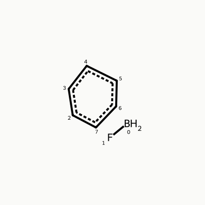 BF.c1ccccc1